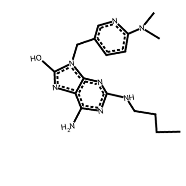 CCCCNc1nc(N)c2nc(O)n(Cc3ccc(N(C)C)nc3)c2n1